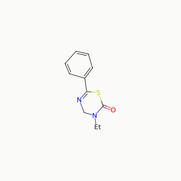 CCN1CN=C(c2ccccc2)SC1=O